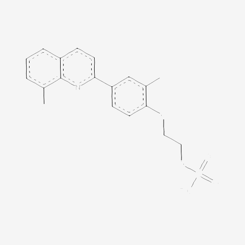 O=S(=O)(OCCOc1ccc(-c2ccc3cccc(Cl)c3n2)cc1C(F)(F)F)C(F)(F)F